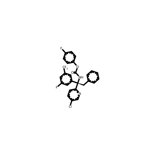 O=C(N[C@@](Cc1ccccc1)(c1cc(F)cc(C(F)(F)F)c1)c1ccc(Cl)cn1)Oc1ccc(F)cc1